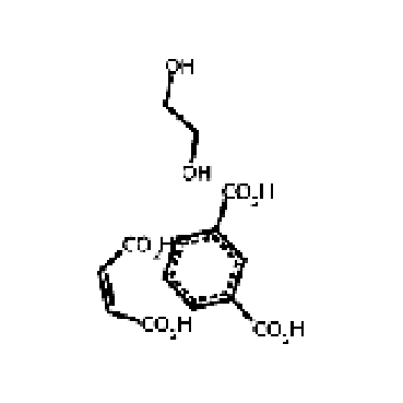 O=C(O)/C=C\C(=O)O.O=C(O)c1cccc(C(=O)O)c1.OCCO